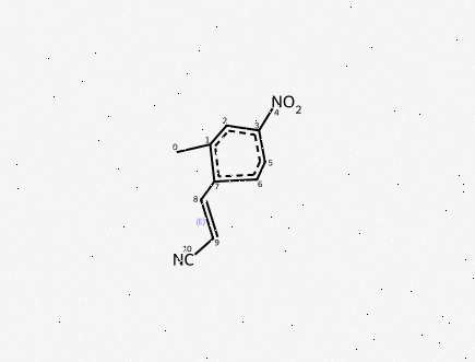 Cc1cc([N+](=O)[O-])ccc1/C=C/C#N